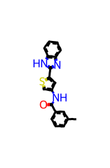 Cc1cccc(C(=O)Nc2csc(-c3nc4ccccc4[nH]3)c2)c1